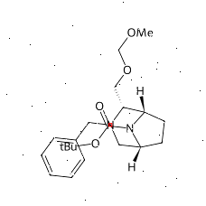 COCOC[C@@H]1[C@@H]2CC[C@H](CN1Cc1ccccc1)N2C(=O)OC(C)(C)C